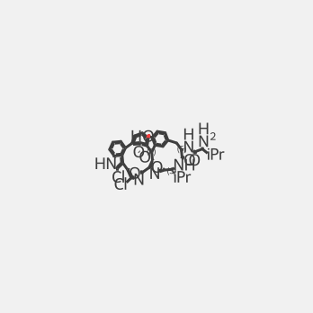 CC(C)C(N)C(=O)N[C@H]1Cc2ccc(O)c(c2)[C@@]23OOc4c(cccc42)-c2cccc4[nH]c(Cl)c(c24)-c2oc(nc2Cl)-c2nc(oc23)[C@H](C(C)C)NC1=O